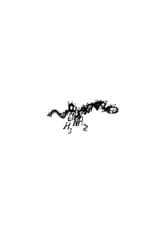 Cc1c(C#N)cccc1-c1nc(N)c(F)c(-c2cn(Cc3ccn(C4COC4)n3)nn2)n1